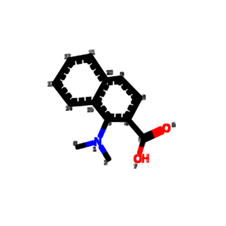 CN(C)c1c(C(=O)O)ccc2ccccc12